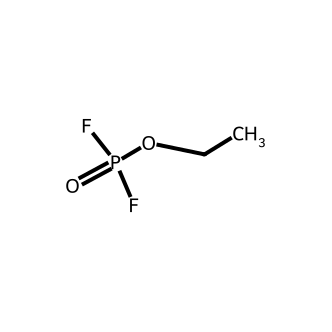 CCOP(=O)(F)F